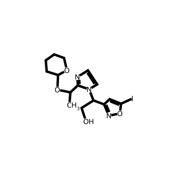 CC(OC1CCCCO1)c1nccn1C(CO)c1cc(I)on1